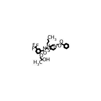 CCCCn1/c(=N/C(=O)c2cc(C(F)(F)F)ccc2OC[C@H](C)O)sc2cc[n+](COC(=O)c3ccccc3)cc21